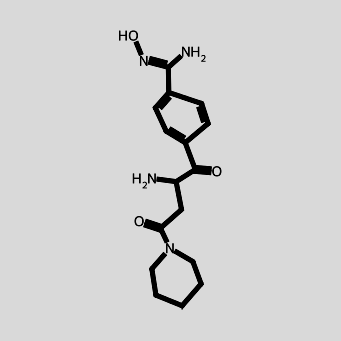 NC(=NO)c1ccc(C(=O)C(N)CC(=O)N2CC[CH]CC2)cc1